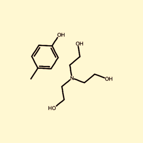 Cc1ccc(O)cc1.OCCN(CCO)CCO